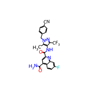 Cc1c(NC(=O)c2cc(C(N)=O)c3ccc(F)cc3n2)c(C(F)(F)F)nn1Cc1ccc(C#N)cc1